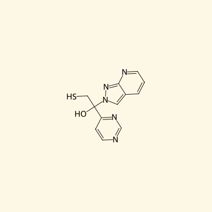 OC(CS)(c1ccncn1)n1cc2cccnc2n1